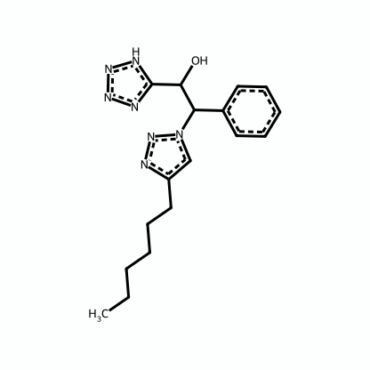 CCCCCCc1cn(C(c2ccccc2)C(O)c2nnn[nH]2)nn1